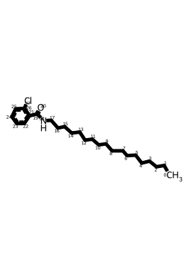 CCCCCCCCCCCCCCCCCCNC(=O)c1ccccc1Cl